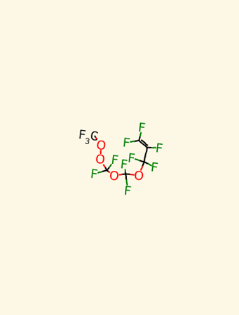 FC(F)=C(F)C(F)(F)OC(F)(F)OC(F)(F)OOC(F)(F)F